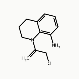 C=C(CCl)N1CCCc2cccc(N)c21